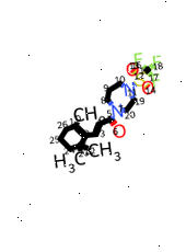 CC1=C(C=CC(=O)N2CCCN(S(=O)(=O)C(F)(F)F)CC2)C(C)(C)CCC1